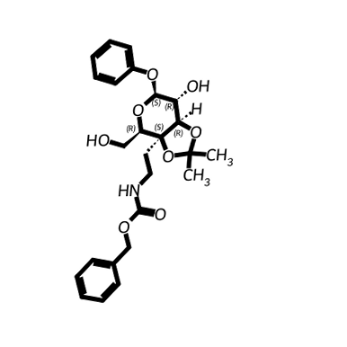 CC1(C)O[C@@H]2[C@@H](O)[C@H](Oc3ccccc3)O[C@H](CO)[C@]2(CCNC(=O)OCc2ccccc2)O1